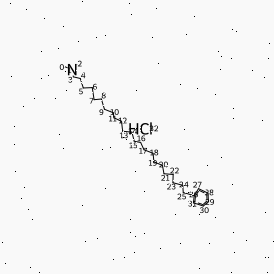 CN(C)CCCCCCCCCCCCCCCCCCCCCCCc1ccccc1.Cl